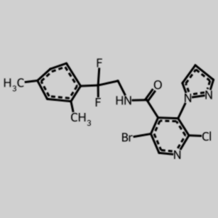 Cc1ccc(C(F)(F)CNC(=O)c2c(Br)cnc(Cl)c2-n2cccn2)c(C)c1